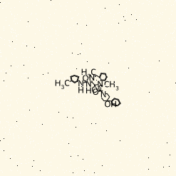 CC1=NC(NC(=O)Nc2cccc(C)c2)C(=O)N(CC(=O)N2CCC(O)(c3ccccc3)CC2)c2c(C)cccc21